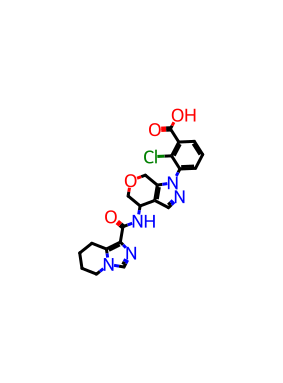 O=C(O)c1cccc(-n2ncc3c2COCC3NC(=O)c2ncn3c2CCCC3)c1Cl